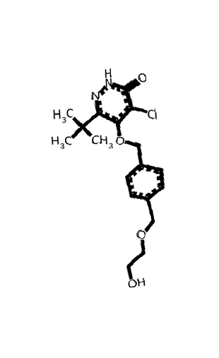 CC(C)(C)c1n[nH]c(=O)c(Cl)c1OCc1ccc(COCCO)cc1